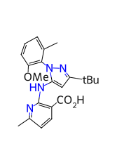 COc1cccc(C)c1-n1nc(C(C)(C)C)cc1Nc1nc(C)ccc1C(=O)O